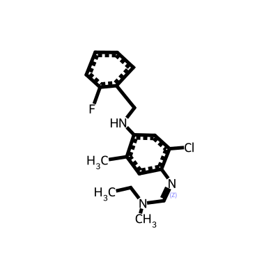 CCN(C)/C=N\c1cc(C)c(NCc2ccccc2F)cc1Cl